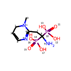 CN1CC=CN=C1CC(N)(P(=O)(O)O)P(=O)(O)O